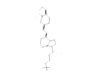 C[C@H](CCCC(C)(C)O)C1CCC2/C(=C/C=C3\C[C@@H](O)C4=CCO[C@@H]4C3)CCC[C@@]21C